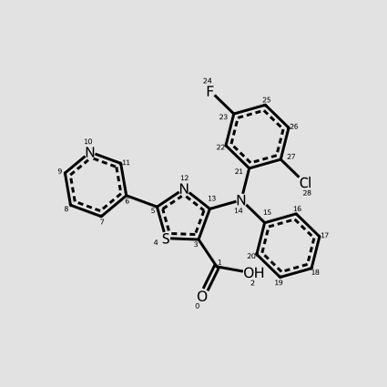 O=C(O)c1sc(-c2cccnc2)nc1N(c1ccccc1)c1cc(F)ccc1Cl